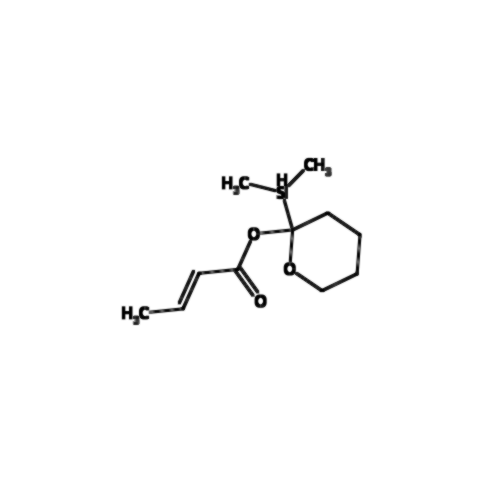 CC=CC(=O)OC1([SiH](C)C)CCCCO1